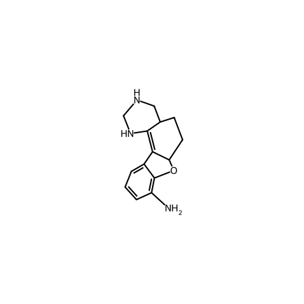 Nc1cccc2c1OC1CCC3CNCNC3=C21